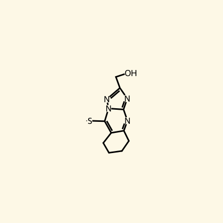 OCc1nc2nc3c(c([S])n2n1)CCCC3